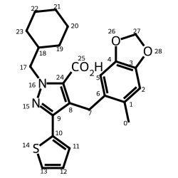 Cc1cc2c(cc1Cc1c(-c3cccs3)nn(CC3CCCCC3)c1C(=O)O)OCO2